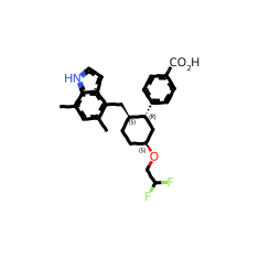 Cc1cc(C)c2[nH]ccc2c1C[C@@H]1CC[C@H](OCC(F)F)C[C@H]1c1ccc(C(=O)O)cc1